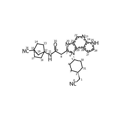 N#CC[C@H]1CC[C@H](n2c(CC(=O)NC34CCC(C#N)(CC3)C4)nc3cnc4[nH]ccc4c32)CC1